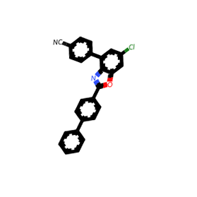 N#Cc1ccc(-c2cc(Cl)cc3oc(-c4ccc(-c5ccccc5)cc4)nc23)cc1